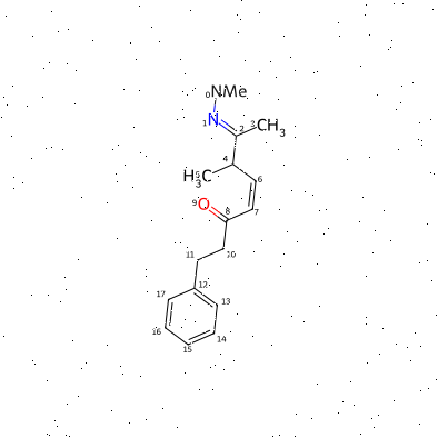 CN/N=C(\C)C(C)/C=C\C(=O)CCc1ccccc1